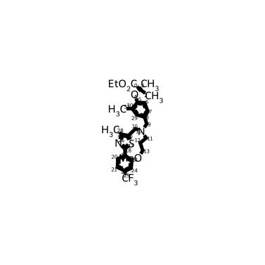 CCOC(=O)C(C)(C)Oc1ccc(CN(CCCOC)Cc2sc(-c3ccc(C(F)(F)F)cc3)nc2C)cc1C